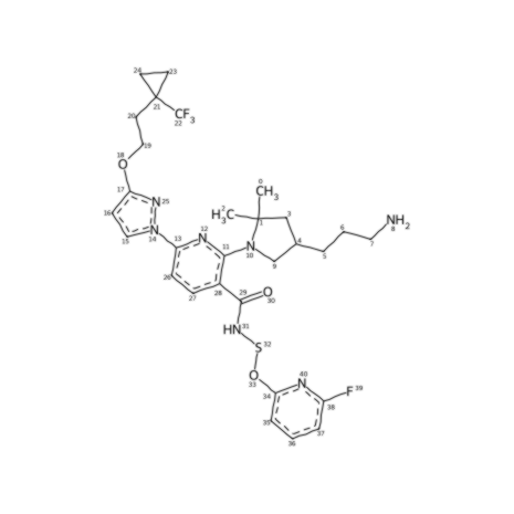 CC1(C)CC(CCCN)CN1c1nc(-n2ccc(OCCC3(C(F)(F)F)CC3)n2)ccc1C(=O)NSOc1cccc(F)n1